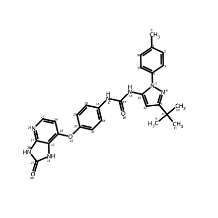 Cc1ccc(-n2nc(C(C)(C)C)cc2NC(=O)Nc2ccc(Oc3ccnc4[nH]c(=O)[nH]c34)cc2)cc1